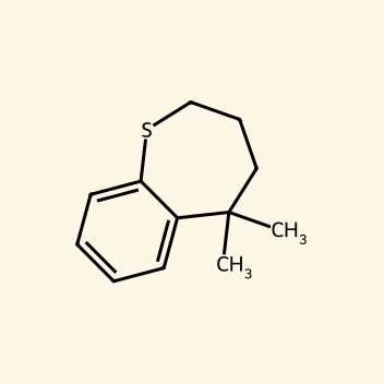 CC1(C)CCCSc2ccccc21